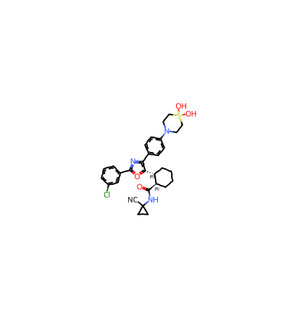 N#CC1(NC(=O)[C@@H]2CCCC[C@H]2c2oc(-c3cccc(Cl)c3)nc2-c2ccc(N3CCS(O)(O)CC3)cc2)CC1